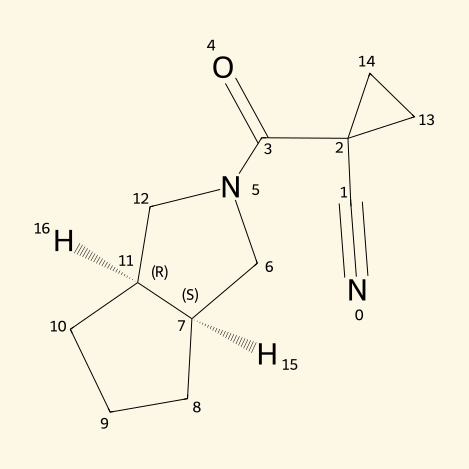 N#CC1(C(=O)N2C[C@H]3CCC[C@H]3C2)CC1